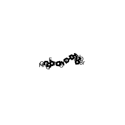 CC1(C)c2ccc(C3CCN(C4COC5(CCN(c6cc(F)c(C7CCC(=O)NC7=O)c(F)c6)CC5)C4)CC3)cc2-n2c1nc(=O)c1c(Br)cccc12